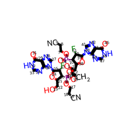 C=CCOP(=O)(OCCC#N)[C@@H]1C(COP(=O)(OCCC#N)[C@@H]2C(CO)OC(n3cnc4c(=O)[nH]cnc43)[C@@H]2F)OC(n2cnc3c(=O)[nH]cnc32)[C@@H]1F